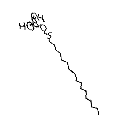 CCCCCCCCCCCCCCCCCSCOB(O)O